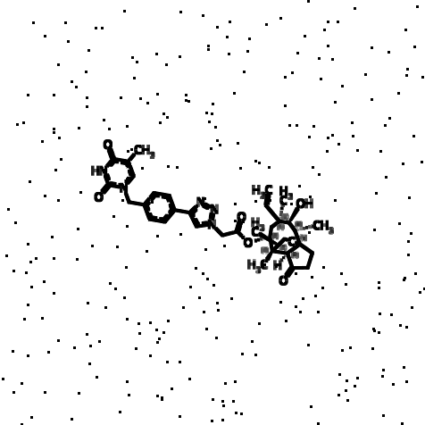 C=C[C@]1(C)C[C@@H](OC(=O)Cn2cc(-c3ccc(Cn4cc(C)c(=O)[nH]c4=O)cc3)nn2)[C@]2(C)[C@H](C)CC[C@]3(CCC(=O)[C@H]32)[C@@H](C)[C@@H]1O